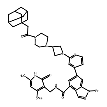 CSc1cc(C)[nH]c(=O)c1CNC(=O)c1cc(-c2ccnc(N3CC(N4CCN(C(=O)CC56CC7CC(CC(C7)C5)C6)CC4)C3)c2)cc2c1cnn2C(C)C